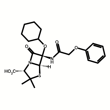 CC1(C)S[C@H]2N(C(=O)[C@]2(NC(=O)COc2ccccc2)OC2CCCCC2)[C@H]1C(=O)O